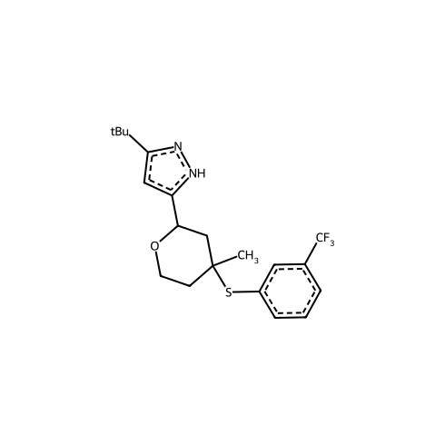 CC1(Sc2cccc(C(F)(F)F)c2)CCOC(c2cc(C(C)(C)C)n[nH]2)C1